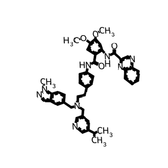 COc1cc(NC(=O)c2cnc3ccccc3n2)c(C(=O)Nc2ccc(CCN(Cc3cncc(C(C)C)c3)Cc3ccc4c(cnn4C)c3)cc2)cc1OC